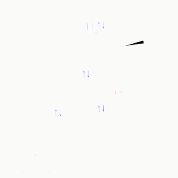 C[C@H](N)c1nc(N2CCCC3(CC3)C2)no1